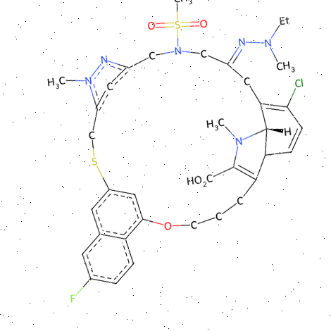 CCN(C)/N=C1\CC2=C(Cl)C=CC3C(=C(C(=O)O)N(C)[C@H]23)CCCOc2cc(cc3cc(F)ccc23)SCc2cc(nn2C)CN(S(C)(=O)=O)C1